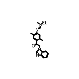 CCN(C)C=Nc1cc(C)c(C(=O)Cn2cnc3ccccc32)cc1C